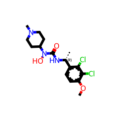 COc1ccc([C@@H](C)NC(=O)N(O)C2CCN(C)CC2)c(Cl)c1Cl